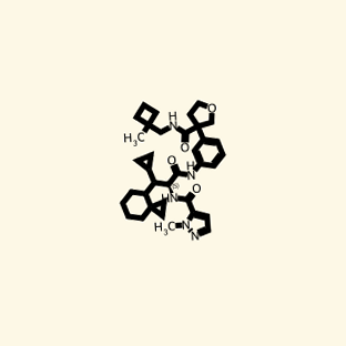 Cn1nccc1C(=O)N[C@H](C(=O)Nc1cccc(C2(C(=O)NCC3(C)CCC3)CCOC2)c1)C(C1CC1)C1CCCCC12CC2